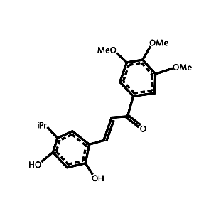 COc1cc(C(=O)/C=C/c2cc(C(C)C)c(O)cc2O)cc(OC)c1OC